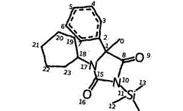 CC1(c2ccccc2)C(=O)N([Si](C)(C)C)C(=O)N1C1CCCCC1